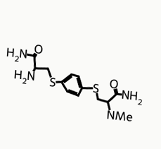 CNC(CSc1ccc(SCC(N)C(N)=O)cc1)C(N)=O